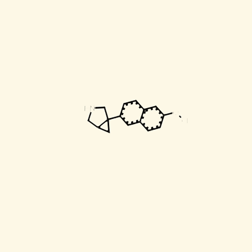 COc1ccc2cc(C34CNCC3C4)ccc2c1